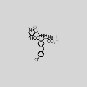 Cc1cn(C)c(=O)c(NC(=O)NC(CC(=O)O)c2cccc(Cc3ccc(Cl)cc3)c2)c1O.[NaH]